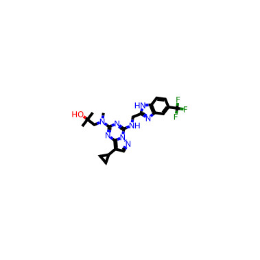 CN(CC(C)(C)O)c1nc(NCc2nc3cc(C(F)(F)F)ccc3[nH]2)n2ncc(C3CC3)c2n1